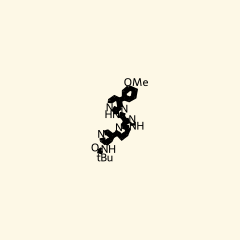 COc1cccc(-c2ccnc3[nH]c(-c4n[nH]c5ccc(-c6cncc(NC(=O)C(C)(C)C)c6)nc45)nc23)c1